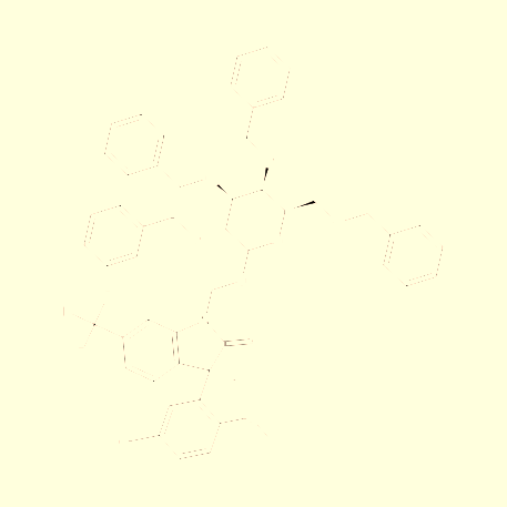 COc1ccc(Cl)cc1[C@]1(F)C(=O)N(COC2O[C@H](COCc3ccccc3)[C@H](OCc3ccccc3)[C@H](OCc3ccccc3)[C@H]2OCc2ccccc2)c2cc(C(F)(F)F)ccc21